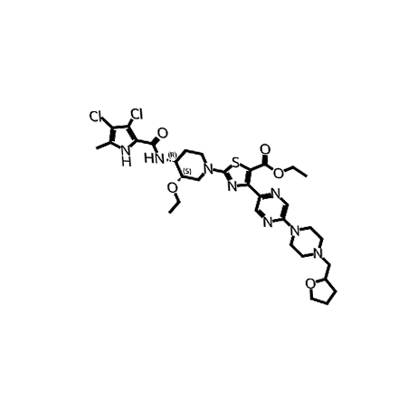 CCOC(=O)c1sc(N2CC[C@@H](NC(=O)c3[nH]c(C)c(Cl)c3Cl)[C@@H](OCC)C2)nc1-c1cnc(N2CCN(CC3CCCO3)CC2)cn1